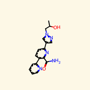 CC(O)Cn1cc(-c2ccc(-c3ccccn3)c(C(N)=O)n2)cn1